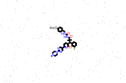 COc1ccc(CNC(=O)NC(=O)C(C)(C)C2c3ccc(-c4cnc(N5CCN(C)CC5)nc4)nc3Oc3c(F)cccc32)cc1